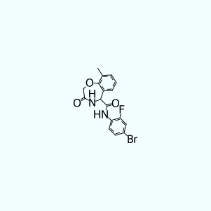 Cc1cccc2c1OCC(=O)NC2C(=O)Nc1ccc(Br)cc1F